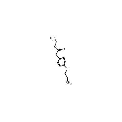 CCCSc1ccc(CC(=O)OCC)cc1